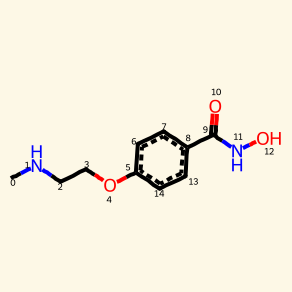 CNCCOc1ccc(C(=O)NO)cc1